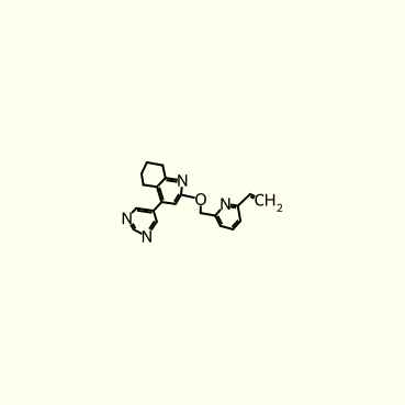 C=Cc1cccc(COc2cc(-c3cncnc3)c3c(n2)CCCC3)n1